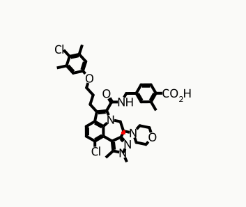 Cc1cc(CNC(=O)c2c(CCCOc3cc(C)c(Cl)c(C)c3)c3ccc(Cl)c(-c4c(C)nn(C)c4C)c3n2CCN2CCOCC2)ccc1C(=O)O